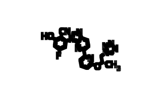 C[C@@H](Cn1cnnn1)Oc1cccc(-c2ccc3ncn(-c4cc(F)cc(O)c4C#N)c3n2)n1